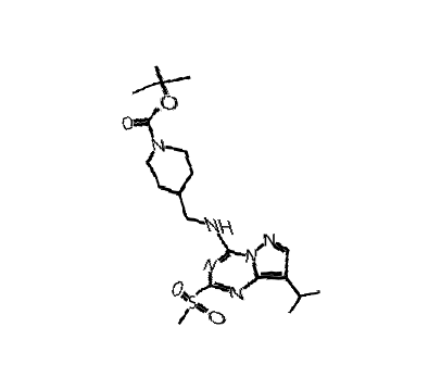 CC(C)c1cnn2c(NCC3CCN(C(=O)OC(C)(C)C)CC3)nc(S(C)(=O)=O)nc12